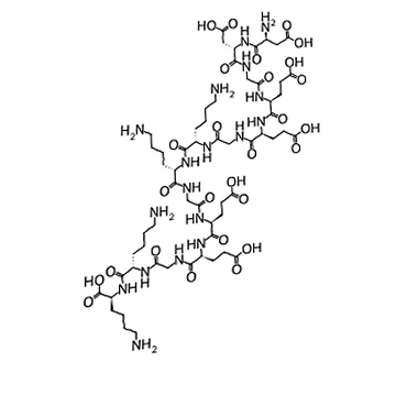 NCCCC[C@H](NC(=O)[C@H](CCCCN)NC(=O)CNC(=O)[C@H](CCC(=O)O)NC(=O)[C@H](CCC(=O)O)NC(=O)CNC(=O)[C@H](CCCCN)NC(=O)[C@H](CCCCN)NC(=O)CNC(=O)[C@H](CCC(=O)O)NC(=O)[C@H](CCC(=O)O)NC(=O)CNC(=O)[C@H](CC(=O)O)NC(=O)[C@@H](N)CC(=O)O)C(=O)O